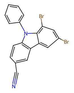 N#Cc1ccc2c(c1)c1cc(Br)cc(Br)c1n2-c1ccccc1